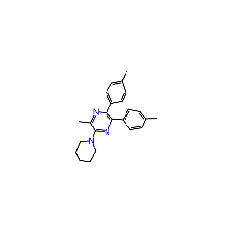 Cc1ccc(-c2nc(C)c(N3CCCCC3)nc2-c2ccc(C)cc2)cc1